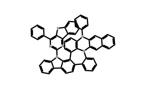 c1ccc(-c2nc(-n3c4ccccc4c4ccc5c(c43)-c3cccc4c3N(c3ccccc3-5)c3cc5ccccc5cc3N4c3ccccc3)nc3c2sc2ccccc23)cc1